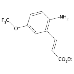 CCOC(=O)/C=C/c1cc(OC(F)(F)F)ccc1N